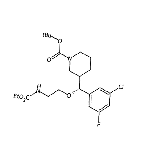 CCOC(=O)NCCO[C@@H](c1cc(F)cc(Cl)c1)C1CCCN(C(=O)OC(C)(C)C)C1